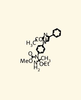 CC(=O)O.CCOC(C)(N)N(C(=O)OC)c1ccc(-n2cnc(-c3ccccc3)c2)cc1